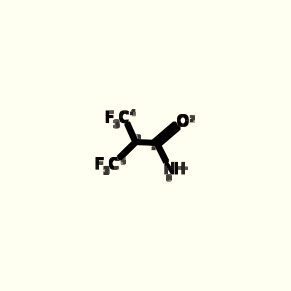 [NH]C(=O)C(C(F)(F)F)C(F)(F)F